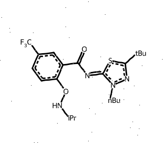 CCCCn1nc(C(C)(C)C)sc1=NC(=O)c1cc(C(F)(F)F)ccc1ONC(C)C